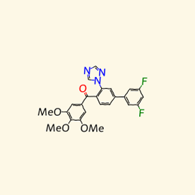 COc1cc(C(=O)c2ccc(-c3cc(F)cc(F)c3)cc2-n2cncn2)cc(OC)c1OC